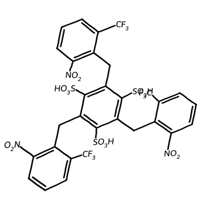 O=[N+]([O-])c1cccc(C(F)(F)F)c1Cc1c(S(=O)(=O)O)c(Cc2c([N+](=O)[O-])cccc2C(F)(F)F)c(S(=O)(=O)O)c(Cc2c([N+](=O)[O-])cccc2C(F)(F)F)c1S(=O)(=O)O